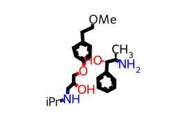 COCCc1ccc(OCC(O)CNC(C)C)cc1.C[C@@H](N)[C@@H](O)c1ccccc1